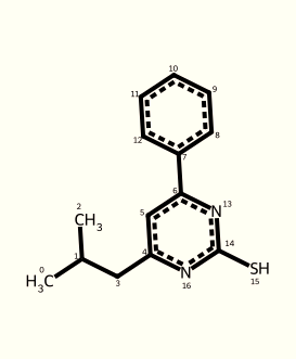 CC(C)Cc1cc(-c2ccccc2)nc(S)n1